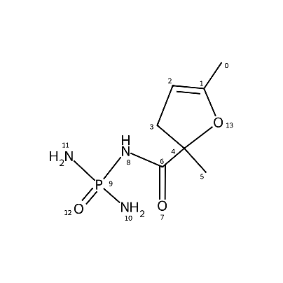 CC1=CCC(C)(C(=O)NP(N)(N)=O)O1